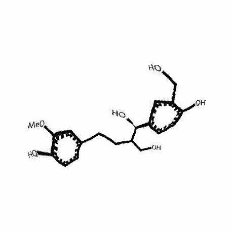 COc1cc(CCC(CO)[C@@H](O)c2ccc(O)c(CO)c2)ccc1O